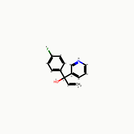 C=CC(O)(c1ccc(F)cc1)c1cccnc1